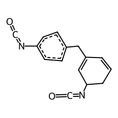 O=C=Nc1ccc(CC2=CC(N=C=O)CC=C2)cc1